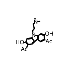 CC(=O)c1cc2c3cc(C(C)=O)c(O)cc3n(CCCN(C)C)c2cc1O